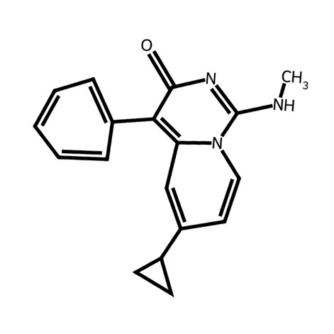 CNc1nc(=O)c(-c2ccccc2)c2cc(C3CC3)ccn12